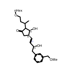 [CH2]C(CCOCCCCCC)C1C(=O)C[C@H](/C=C/[C@@H](O)Cc2cccc(COC)c2)[C@@H]1O